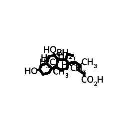 B[C@@]1(O)C[C@@H]2C[C@H](O)CC[C@]2(C)[C@@]2(C)CC[C@]3(C)[C@@H]([C@H](C)CCC(=O)O)CC[C@H]3[C@@H]21